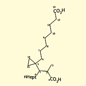 CCCCCCCC(C(C)C(=O)O)C1(CCCCCCCC(=O)O)CC1